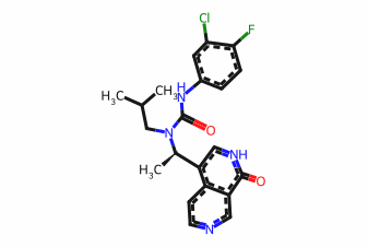 CC(C)CN(C(=O)Nc1ccc(F)c(Cl)c1)[C@H](C)c1c[nH]c(=O)c2cnccc12